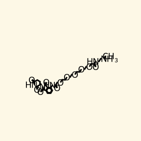 CNCCNC(=O)COCCOCCOCCOCCOCC(=O)Nc1cccc2c1C(=O)N(C1CCC(=O)NC1=O)C2=O